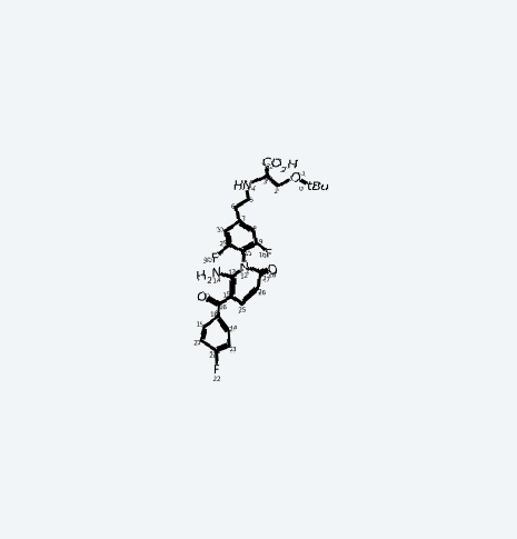 CC(C)(C)OCC(NCCc1cc(F)c(-n2c(N)c(C(=O)c3ccc(F)cc3)ccc2=O)c(F)c1)C(=O)O